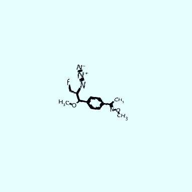 CO/N=C(\C)c1ccc([C@@H](OC)[C@@H](CF)N=[N+]=[N-])cc1